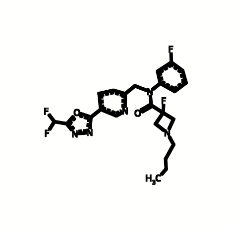 CCCCN1CC(F)(C(=O)N(Cc2ccc(-c3nnc(C(F)F)o3)cn2)c2cccc(F)c2)C1